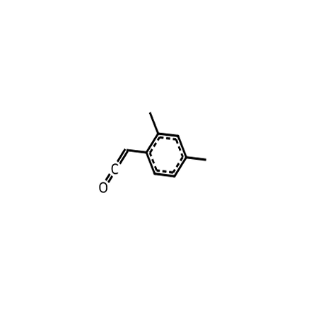 Cc1ccc(C=C=O)c(C)c1